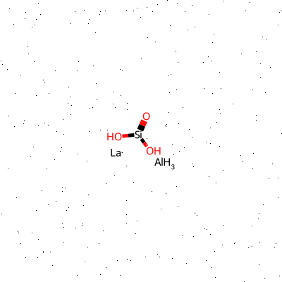 O=[Si](O)O.[AlH3].[La]